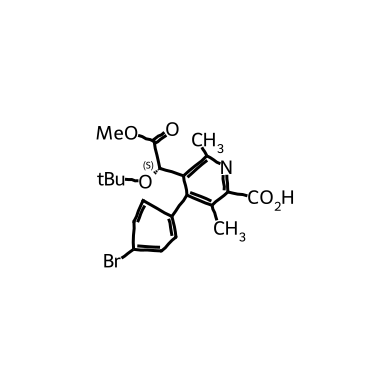 COC(=O)[C@@H](OC(C)(C)C)c1c(C)nc(C(=O)O)c(C)c1-c1ccc(Br)cc1